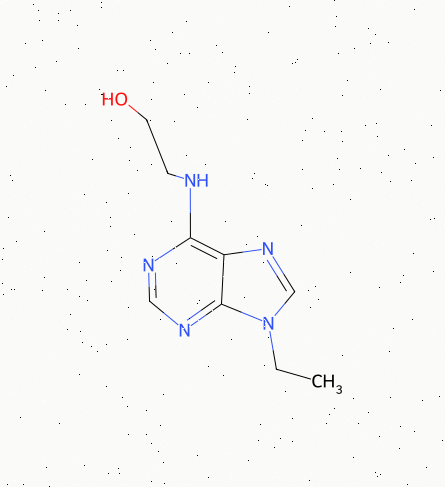 CCn1cnc2c(NCCO)ncnc21